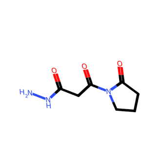 NNC(=O)CC(=O)N1CCCC1=O